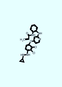 C=CC(=O)Nc1ccccc1Nc1cc(Oc2ccc(NNC3CC3)c(Cl)c2Cl)ccn1